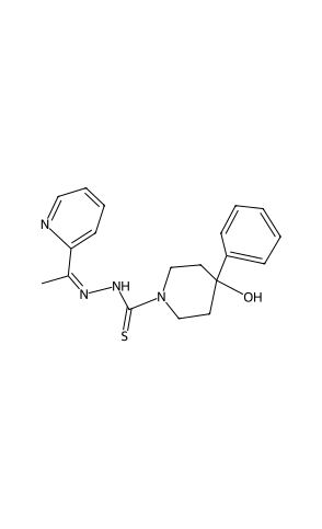 CC(=NNC(=S)N1CCC(O)(c2ccccc2)CC1)c1ccccn1